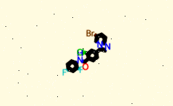 O=C(Nc1ccc(F)cc1F)c1ccc(-c2cnc3ccc(Br)cn23)cc1Cl